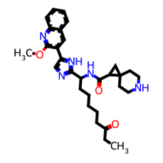 CCC(=O)CCCCCC(NC(=O)C1CC12CCNCC2)c1ncc(-c2cc3ccccc3nc2OC)[nH]1